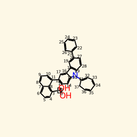 OB(O)c1cccc2cccc(-c3ccc4c(c3)c3cc(-c5ccccc5)ccc3n4C3=CC=CC=CC3)c12